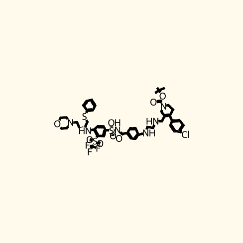 CC(C)(C)OC(=O)N1CCC(c2ccc(Cl)cc2)=C(CNCCNc2ccc(C(=O)NS(=O)(=O)c3ccc(N[C@H](CCN4CCOCC4)CSc4ccccc4)c(S(=O)(=O)C(F)(F)F)c3)cc2)C1